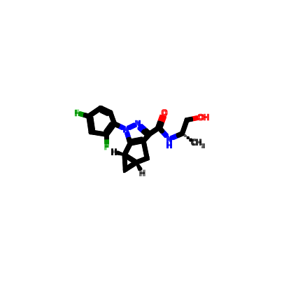 C[C@@H](CO)NC(=O)c1nn(-c2ccc(F)cc2F)c2c1C[C@@H]1C[C@H]21